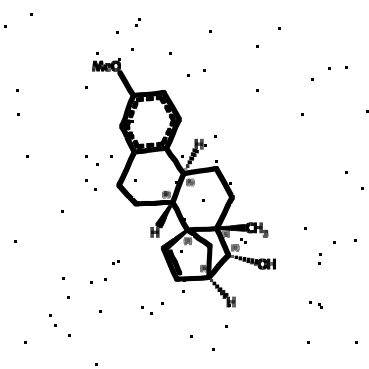 COc1ccc2c(c1)CC[C@@H]1[C@@H]2CC[C@]2(C)[C@H](O)[C@H]3C=C[C@@]12C3